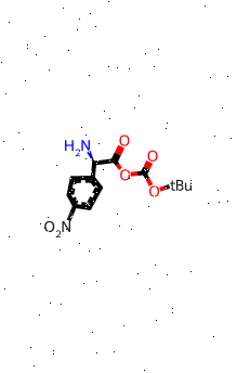 CC(C)(C)OC(=O)OC(=O)[C@H](N)c1ccc([N+](=O)[O-])cc1